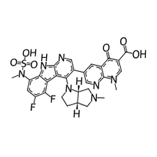 CN1C[C@@H]2CCN(c3c(-c4cnc5c(c4)c(=O)c(C(=O)O)cn5C)cnc4[nH]c5c(N(C)S(=O)(=O)O)cc(F)c(F)c5c34)[C@@H]2C1